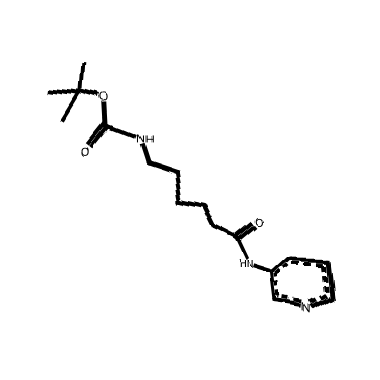 CC(C)(C)OC(=O)NCCCCCC(=O)Nc1cccnc1